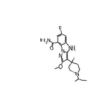 COc1nn2c([nH]c3cc(F)cc(C(N)=O)c32)c1C1(C)CCN(C(C)C)CC1